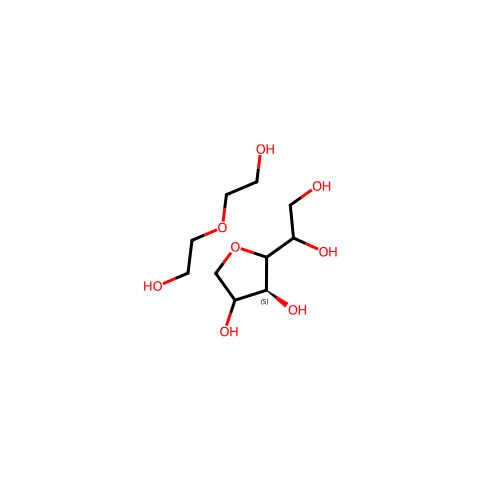 OCC(O)C1OCC(O)[C@@H]1O.OCCOCCO